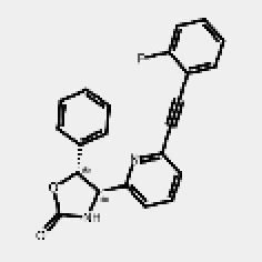 O=C1N[C@H](c2cccc(C#Cc3ccccc3F)n2)[C@@H](c2ccccc2)O1